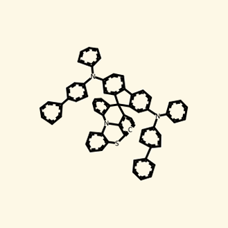 c1ccc(-c2ccc(N(c3ccccc3)c3ccc4c(c3)C3(c5cc(N(c6ccccc6)c6ccc(-c7ccccc7)cc6)ccc5-4)c4ccccc4N4c5ccccc5Sc5cccc3c54)cc2)cc1